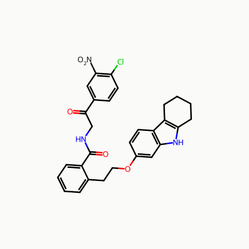 O=C(CNC(=O)c1ccccc1CCOc1ccc2c3c([nH]c2c1)CCCC3)c1ccc(Cl)c([N+](=O)[O-])c1